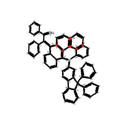 N=C(/C(=C1\NC(c2ccccc2)=C(N(c2ccc3c(c2)C(c2ccccc2)(c2ccccc2)c2ccccc2-3)c2ccccc2-c2ccccc2)C2C=CC=CC12)c1ccccc1)c1ccccc1